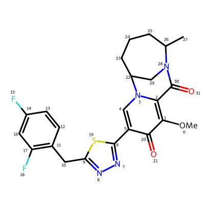 COc1c2n(cc(-c3nnc(Cc4ccc(F)cc4F)s3)c1=O)C1CCCC(C)N(C1)C2=O